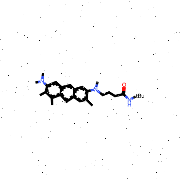 Cc1cc2cc3c(C)c(C)c(N(C)C)cc3cc2cc1N(C)CCCC(=O)NC(C)(C)C